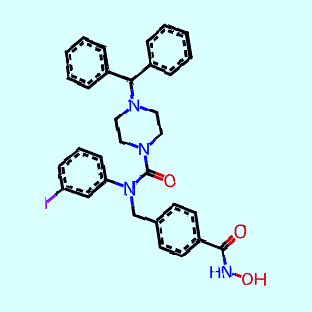 O=C(NO)c1ccc(CN(C(=O)N2CCN(C(c3ccccc3)c3ccccc3)CC2)c2cccc(I)c2)cc1